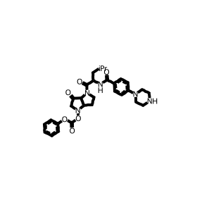 CC(C)CC(NC(=O)c1ccc(N2CCNCC2)cc1)C(=O)N1CCC2C1C(=O)CN2OC(=O)Oc1ccccc1